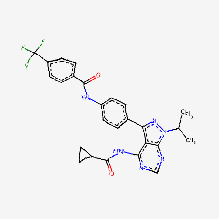 CC(C)n1nc(-c2ccc(NC(=O)c3ccc(C(F)(F)F)cc3)cc2)c2c(NC(=O)C3CC3)ncnc21